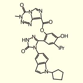 CC(C)c1cc(-c2n[nH]c(=O)n2-c2ccc3c(ccn3C3CCCC3)c2)c(OC(=O)c2ncn3c(=O)n(C)nnc23)cc1O